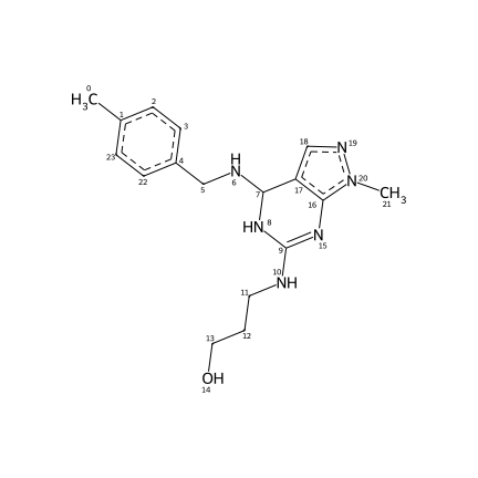 Cc1ccc(CNC2NC(NCCCO)=Nc3c2cnn3C)cc1